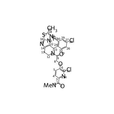 CNC(=O)c1ccc(OCC(=O)N2CCc3nc4sc(C)nn4c3C2c2ccc(Cl)cc2F)c(Cl)n1